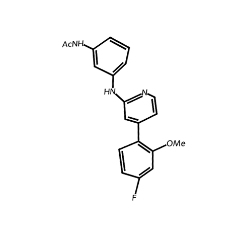 COc1cc(F)ccc1-c1ccnc(Nc2cccc(NC(C)=O)c2)c1